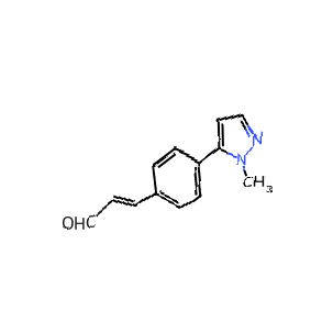 Cn1nccc1-c1ccc(/C=C/C=O)cc1